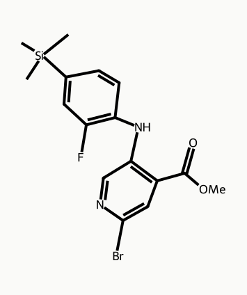 COC(=O)c1cc(Br)ncc1Nc1ccc([Si](C)(C)C)cc1F